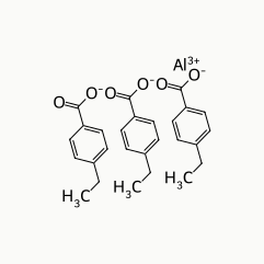 CCc1ccc(C(=O)[O-])cc1.CCc1ccc(C(=O)[O-])cc1.CCc1ccc(C(=O)[O-])cc1.[Al+3]